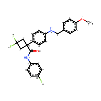 COc1ccc(CNc2ccc(C3(C(=O)Nc4ccc(F)cc4)CC(F)(F)C3)cc2)cc1